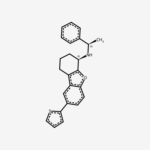 C[C@@H](N[C@@H]1CCCc2c1oc1ccc(-c3cccs3)cc21)c1ccccc1